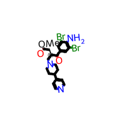 COC(=O)C[C@H](CN1CCC(c2ccncc2)CC1)C(=O)c1cc(Br)c(N)c(Br)c1